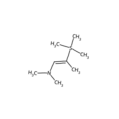 C/C(=C\N(C)C)S(C)(C)C